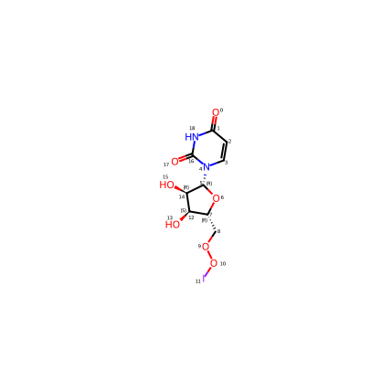 O=c1ccn([C@@H]2O[C@H](COOI)[C@@H](O)[C@H]2O)c(=O)[nH]1